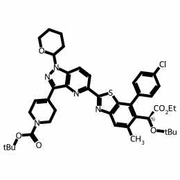 CCOC(=O)[C@@H](OC(C)(C)C)c1c(C)cc2nc(-c3ccc4c(n3)c(C3=CCN(C(=O)OC(C)(C)C)CC3)nn4C3CCCCO3)sc2c1-c1ccc(Cl)cc1